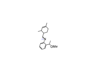 COC(C)c1ccccc1/N=C/C1CCC(C)=CC1C